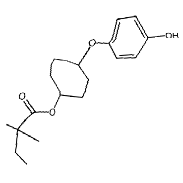 CCC(C)(C)C(=O)OC1CCC(Oc2ccc(O)cc2)CC1